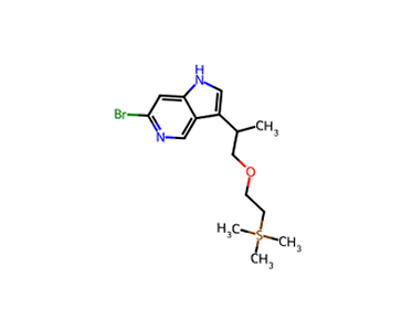 CC(COCCS(C)(C)C)c1c[nH]c2cc(Br)ncc12